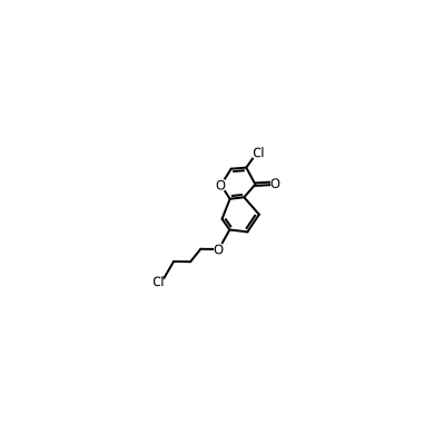 O=c1c(Cl)coc2cc(OCCCCl)ccc12